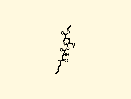 CCCCOC(=O)CNC(=O)Oc1ncc(C(=O)OCC)cc1OC